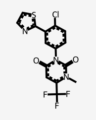 Cn1c(C(F)(F)F)cc(=O)n(-c2ccc(Cl)c(-c3nccs3)c2)c1=O